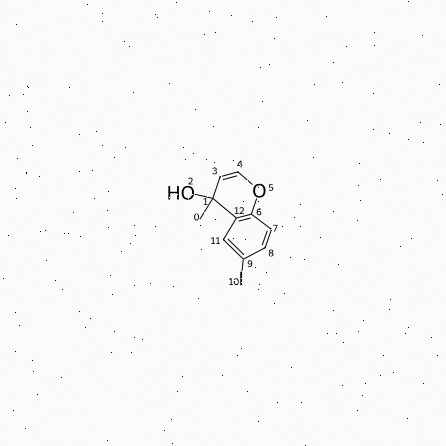 CC1(O)C=COc2ccc(I)cc21